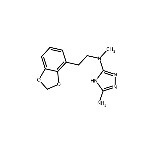 CN(CCc1cccc2c1OCO2)c1nnc(N)[nH]1